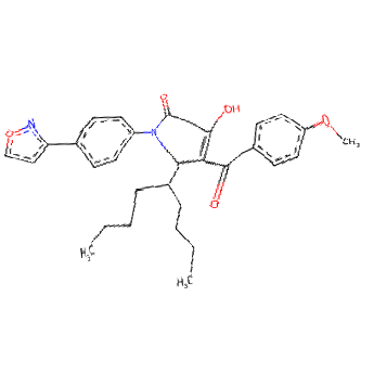 CCCCC(CCCC)C1C(C(=O)c2ccc(OC)cc2)=C(O)C(=O)N1c1ccc(-c2ccon2)cc1